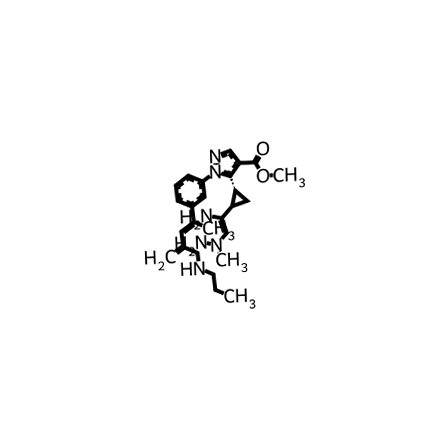 C=C(/C=C(\C)c1cccc(-n2ncc(C(=O)OC)c2[C@@H]2CC2/C(N)=C/N(C)N)c1)CNCCC